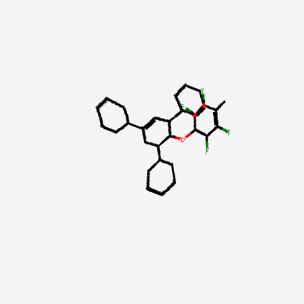 CC1=C(F)C(F)C(OC2C(C3CCCCC3)C=C(C3CCCCC3)CC2C2CCCCC2)C(F)=C1F